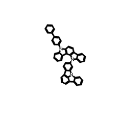 c1ccc(-c2ccc(-n3c4ccccc4c4c3ccc3c5ccccc5n(-c5ccc6c7cccc8c9ccccc9n(c6c5)c87)c34)cc2)cc1